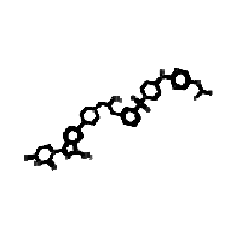 CC(Cc1cccc(S(=O)(=O)N2CCC(Nc3ncc(OC(F)F)cn3)CC2)c1)CN1CCC(c2ccc3c(N4CCC(=O)NC4=O)nn(C)c3c2)CC1